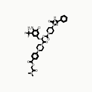 CN(C)C(=O)COC(=O)c1ccc(N2CCN(C(=O)[C@@H](Cc3cc(Cl)c(N)c(C(F)(F)F)c3)OC(=O)N3CCC(n4nc(-c5ccccc5)[nH]c4=O)CC3)CC2)cc1